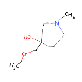 COCC1(O)CCN(C)C1